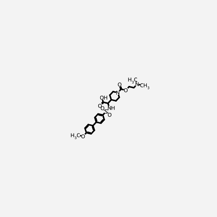 COc1ccc(-c2ccc(S(=O)(=O)NC(C(=O)O)C3CCN(C(=O)OCCN(C)C)CC3)cc2)cc1